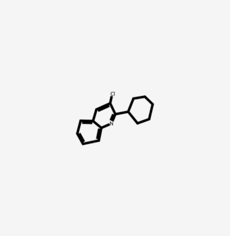 Clc1cc2ccccc2nc1C1CCCCC1